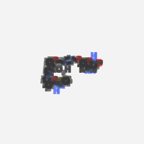 CNc1cc(OCCN2CCN(CCCOc3cccc(-c4ccc(N5CCc6cccc(C(=O)Nc7nc8ccccc8s7)c6C5)nc4C(=O)O)c3C)CC2)ccc1C(=N)C1CCC(=O)NC1=O